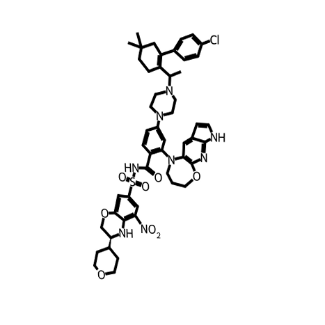 CC(C1=C(c2ccc(Cl)cc2)CC(C)(C)CC1)N1CCN(c2ccc(C(=O)NS(=O)(=O)c3cc4c(c([N+](=O)[O-])c3)N[C@@H](C3CCOCC3)CO4)c(N3CCCOc4nc5[nH]ccc5cc43)c2)CC1